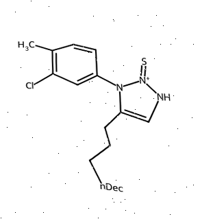 CCCCCCCCCCCCCc1c[nH][n+](=S)n1-c1ccc(C)c(Cl)c1